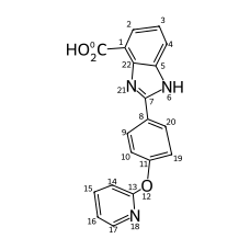 O=C(O)c1cccc2[nH]c(-c3ccc(Oc4ccccn4)cc3)nc12